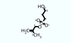 C=C(C)COS(=O)(=O)CCCO